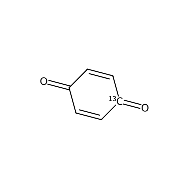 O=C1C=C[13C](=O)C=C1